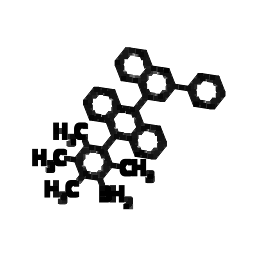 Bc1c(C)c(C)c(C)c(-c2c3ccccc3c(-c3cc(-c4ccccc4)cc4ccccc34)c3ccccc23)c1C